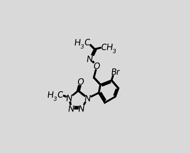 CC(C)=NOCc1c(Br)cccc1-n1nnn(C)c1=O